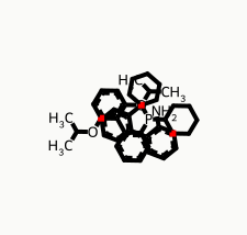 CC(C)Oc1cccc(OC(C)C)c1-c1ccccc1P(C1CCCCC1)C1(c2ccccc2-c2ccccc2N)CCCCC1